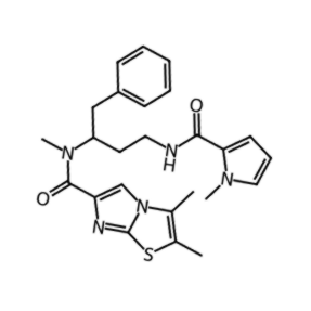 Cc1sc2nc(C(=O)N(C)C(CCNC(=O)c3cccn3C)Cc3ccccc3)cn2c1C